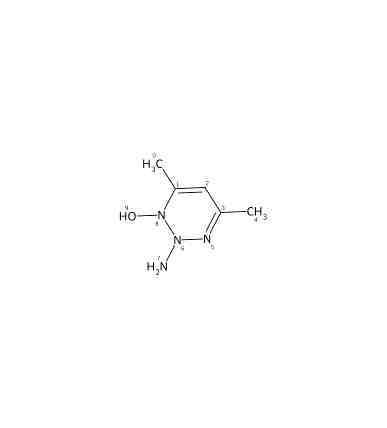 CC1=CC(C)=NN(N)N1O